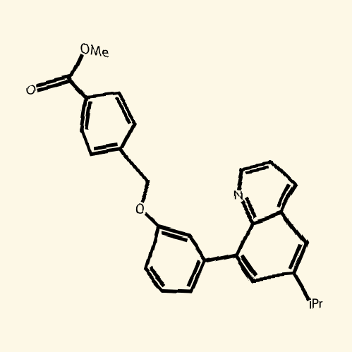 COC(=O)c1ccc(COc2cccc(-c3cc(C(C)C)cc4cccnc34)c2)cc1